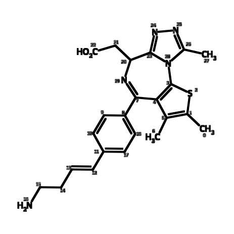 Cc1sc2c(c1C)C(c1ccc(C=CCCN)cc1)=NC(CC(=O)O)c1nnc(C)n1-2